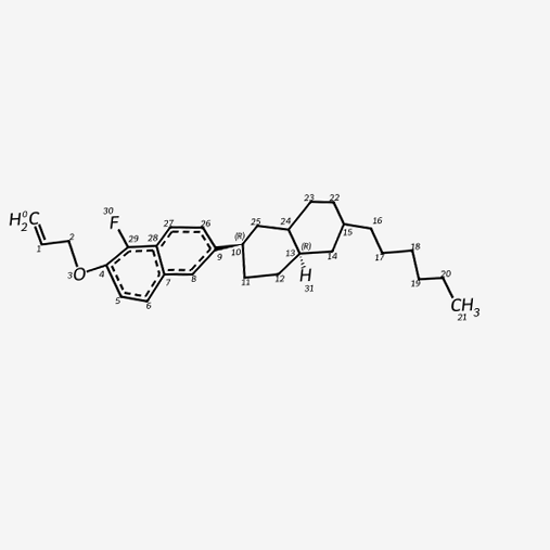 C=CCOc1ccc2cc([C@@H]3CC[C@@H]4CC(CCCCCC)CCC4C3)ccc2c1F